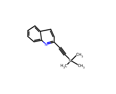 C[Si](C)(C)C#Cc1ccc2ccccc2n1